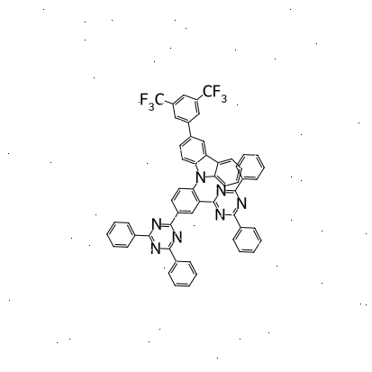 FC(F)(F)c1cc(-c2ccc3c(c2)c2ccccc2n3-c2ccc(-c3nc(-c4ccccc4)nc(-c4ccccc4)n3)cc2-c2nc(-c3ccccc3)nc(-c3ccccc3)n2)cc(C(F)(F)F)c1